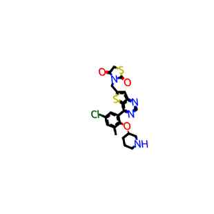 Cc1cc(Cl)cc(-c2ncnc3cc(CN4C(=O)CSC4=O)sc23)c1O[C@H]1CCCNC1